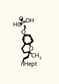 CCCCCCCC=CC1(C)CCc2cc(OCP(=O)(O)O)ccc2O1